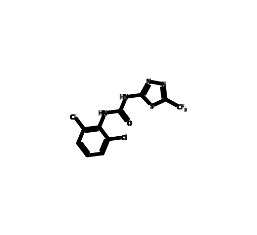 O=C(Nc1nnc(C(F)(F)F)s1)Nc1c(Cl)cccc1Cl